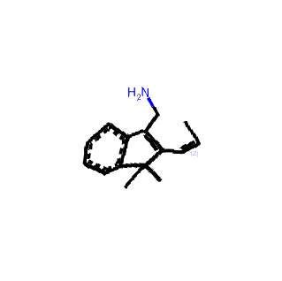 C/C=C\C1=C(CN)c2ccccc2C1(C)C